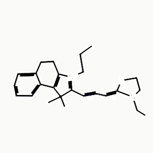 CCC[N+]1=C(/C=C/C=C2\SCCN2CC)C(C)(C)C2=C1CCc1ccccc12